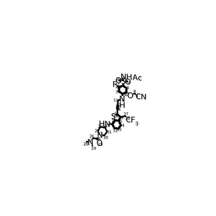 CC(=O)NS(=O)(=O)c1cc(OCC#N)c(NCC#Cc2sc3c(NC4CCN(C(=O)CN(C)C)CC4)cccc3c2CC(F)(F)F)cc1F